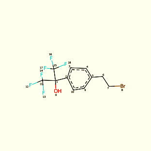 OC(c1ccc(CCBr)cc1)(C(F)(F)F)C(F)(F)F